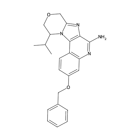 CC(C)C1COCc2nc3c(N)nc4cc(OCc5ccccc5)ccc4c3n21